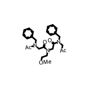 COCCN(CC(=O)N(CC(C)=O)Cc1ccccc1)C(=O)CN(Cc1ccccc1)C(C)=O